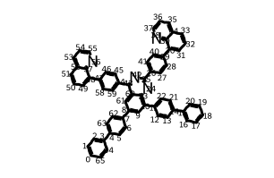 c1ccc(-c2ccc(-c3cc(-c4ccc(-c5ccccc5)cc4)c4nc(-c5ccc(-c6cccc7cccnc67)cc5)nc(-c5ccc(-c6cccc7cccnc67)cc5)c4c3)cc2)cc1